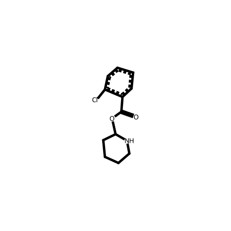 O=C(OC1CCCCN1)c1ccccc1Cl